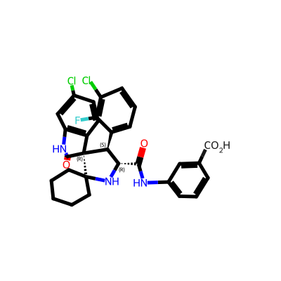 O=C(O)c1cccc(NC(=O)[C@@H]2NC3(CCCCC3)[C@@]3(C(=O)Nc4cc(Cl)ccc43)[C@H]2c2cccc(Cl)c2F)c1